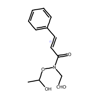 CC(O)ON(C[C]=O)C(=O)/C=C/c1ccccc1